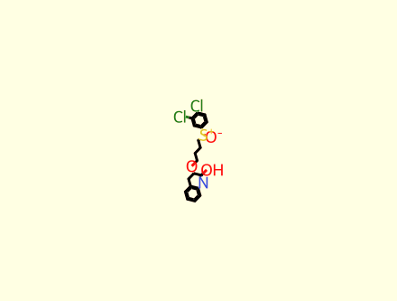 [O-][S+](CCCCOC1Cc2ccccc2N=C1O)c1ccc(Cl)c(Cl)c1